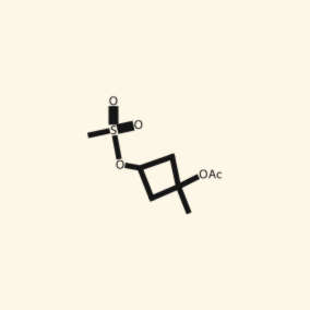 CC(=O)OC1(C)CC(OS(C)(=O)=O)C1